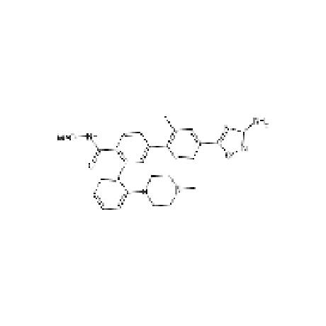 CONC(=O)c1ccc(-c2ccc(-c3nc(N)no3)cc2C)cc1-c1ccccc1N1CCN(C)CC1